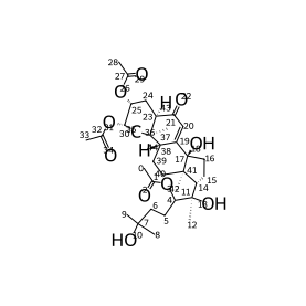 CC(=O)OC(CCC(C)(C)O)[C@](C)(O)[C@H]1CC[C@@]2(O)C3=CC(=O)[C@@H]4C[C@@H](OC(C)=O)[C@@H](OC(C)=O)C[C@]4(C)[C@H]3CC[C@]12C